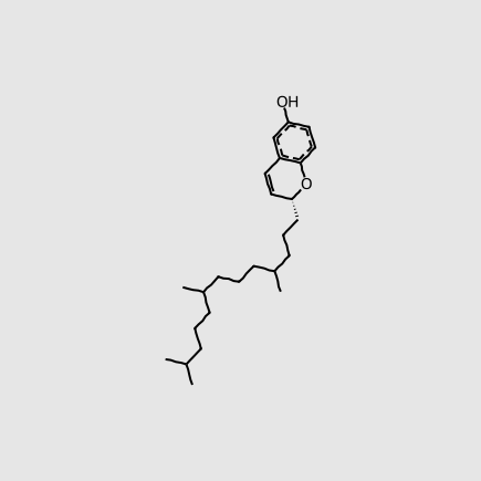 CC(C)CCCC(C)CCCC(C)CCC[C@@H]1C=Cc2cc(O)ccc2O1